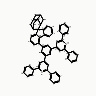 c1ccc(-c2cc(-c3cc(-c4cc(-c5ccccc5)nc(-c5ccccc5)c4)cc(-c4cccc5c4-c4ccccc4C54C5CC6CC(C5)CC4C6)c3)cc(-c3ccccc3)n2)cc1